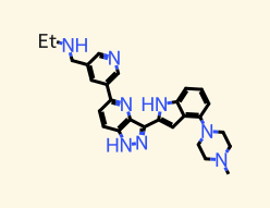 CCNCc1cncc(-c2ccc3[nH]nc(-c4cc5c(N6CCN(C)CC6)cccc5[nH]4)c3n2)c1